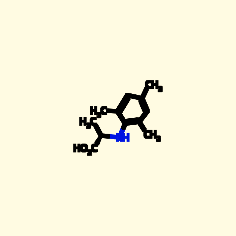 Cc1cc(C)c(N[C@H](C)C(=O)O)c(C)c1